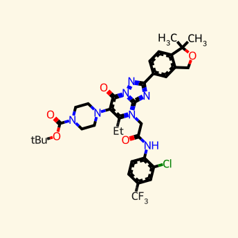 CCc1c(N2CCN(C(=O)OC(C)(C)C)CC2)c(=O)n2nc(-c3ccc4c(c3)COC4(C)C)nc2n1CC(=O)Nc1ccc(C(F)(F)F)cc1Cl